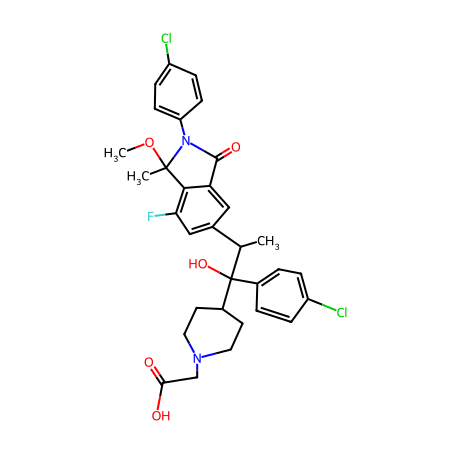 COC1(C)c2c(F)cc(C(C)C(O)(c3ccc(Cl)cc3)C3CCN(CC(=O)O)CC3)cc2C(=O)N1c1ccc(Cl)cc1